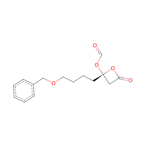 O=CO[C@@]1(CCCCOCc2ccccc2)CC(=O)O1